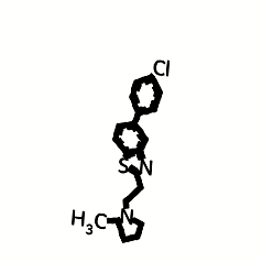 CC1CCCN1CCc1nc2cc(-c3ccc(Cl)cc3)ccc2s1